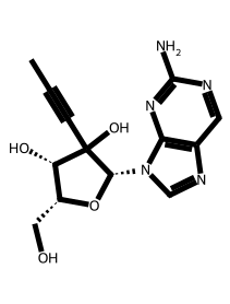 CC#CC1(O)[C@@H](O)[C@@H](CO)O[C@H]1n1cnc2cnc(N)nc21